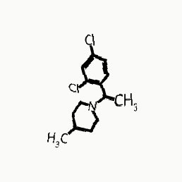 CC1CCN(C(C)c2ccc(Cl)cc2Cl)CC1